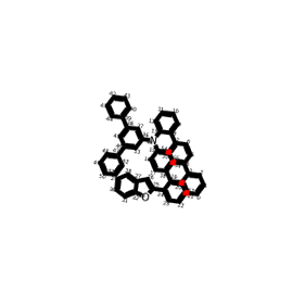 c1ccc(-c2ccc(-c3ccccc3N(c3ccc(-c4ccccc4-c4cc5ccccc5o4)cc3)c3cc(-c4ccccc4)cc(-c4ccccc4)c3)cc2)cc1